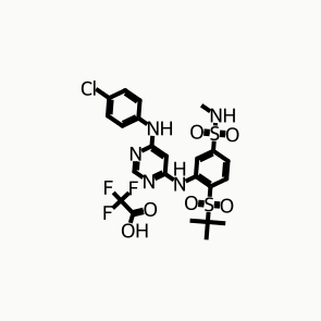 CNS(=O)(=O)c1ccc(S(=O)(=O)C(C)(C)C)c(Nc2cc(Nc3ccc(Cl)cc3)ncn2)c1.O=C(O)C(F)(F)F